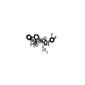 CC1=NN(c2ccc(F)c(F)c2)C(=O)/C1=N\NC1(NS(=O)(=O)C(F)(F)F)C=CC=C(c2ccccc2)C1O